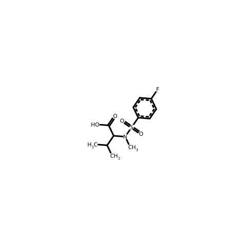 CC(C)C(C(=O)O)N(C)S(=O)(=O)c1ccc(F)cc1